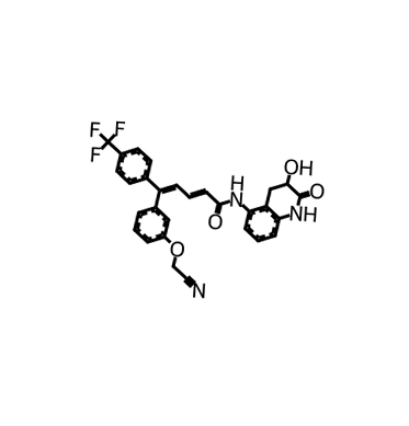 N#CCOc1cccc(/C(=C\C=C\C(=O)Nc2cccc3c2CC(O)C(=O)N3)c2ccc(C(F)(F)F)cc2)c1